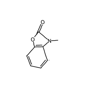 Cn1c(=O)oc2ccc[c]c21